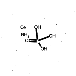 N.O=P(O)(O)O.[Ce]